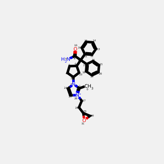 Cc1n(C2CCC(C(C(N)=O)(c3ccccc3)c3ccccc3)C2)cc[n+]1CCC1CO1